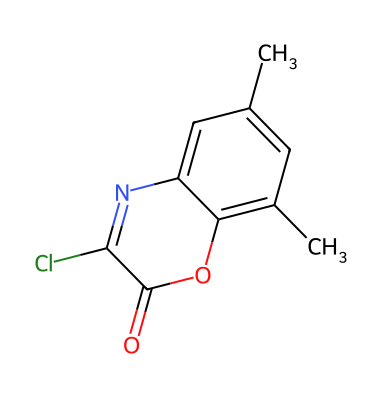 Cc1cc(C)c2oc(=O)c(Cl)nc2c1